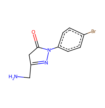 NCC1=NN(c2ccc(Br)cc2)C(=O)C1